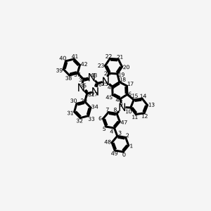 c1ccc(-c2cccc(-n3c4ccccc4c4cc5c6ccccc6n(-c6nc(-c7ccccc7)nc(-c7ccccc7)n6)c5cc43)c2)cc1